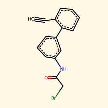 C#Cc1ccccc1-c1cccc(NC(=O)CBr)c1